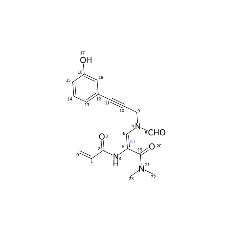 C=CC(=O)N/C(=C/N(C=O)CC#Cc1cccc(O)c1)C(=O)N(C)C